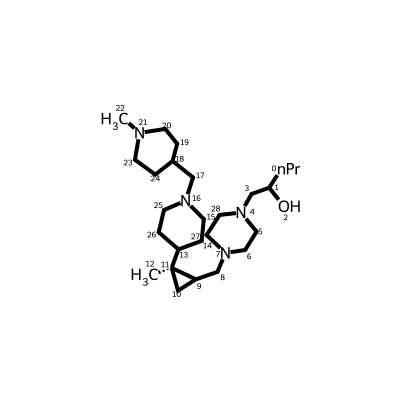 CCCC(O)CN1CCN(CC2C[C@@]2(C)C2CCN(CC3CCN(C)CC3)CC2)CC1